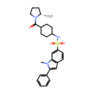 Cn1c(-c2ccccc2)cc2ccc(S(=O)(=O)NC3CCC(C(=O)N4CCC[C@@H]4C(=O)O)CC3)cc21